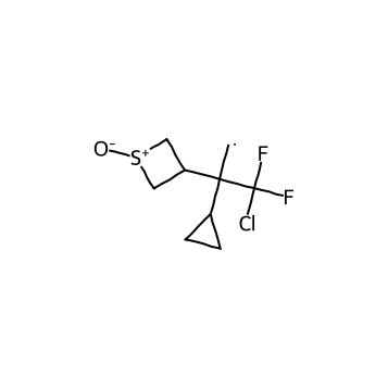 [CH2]C(C1CC1)(C1C[S+]([O-])C1)C(F)(F)Cl